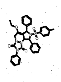 CCOC1=C2C(c3ccccc3)N(S(=O)(=O)c3ccc(C)cc3)C(c3ccccc3)C2n2c(=O)n(-c3ccccc3)c(=O)n2C1